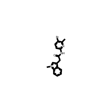 Cc1nc(NC(=O)Cc2cn(C)c3ccccc23)ccc1Br